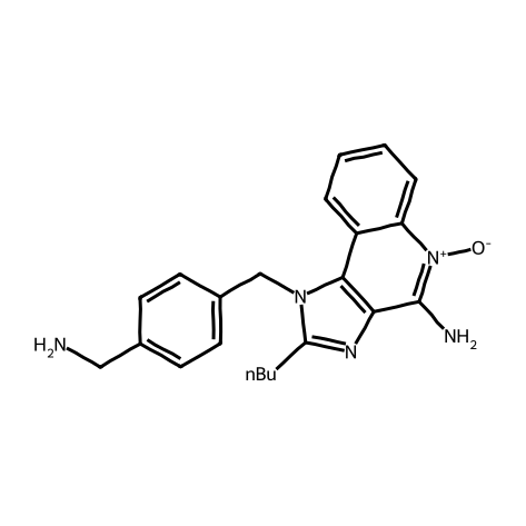 CCCCc1nc2c(N)[n+]([O-])c3ccccc3c2n1Cc1ccc(CN)cc1